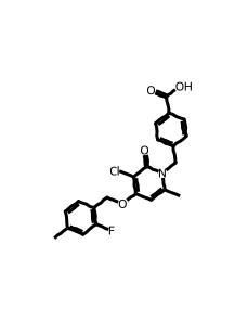 Cc1ccc(COc2cc(C)n(Cc3ccc(C(=O)O)cc3)c(=O)c2Cl)c(F)c1